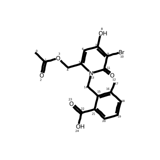 CC(=O)OCc1cc(O)c(Br)c(=O)n1Cc1c(C)cccc1C(=O)O